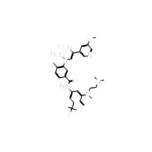 C=C/C(=C\C(=C/CC(F)(F)F)NC(=O)c1ccc(C)c(N(N)/C=C(\N)c2cncc(OC)c2)c1)N(C)CCN(C)C